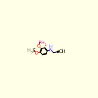 C#CCNc1ccc(OC)c(OP)c1